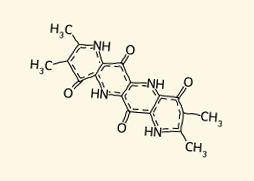 Cc1[nH]c2c(=O)c3[nH]c4c(=O)c(C)c(C)[nH]c4c(=O)c3[nH]c2c(=O)c1C